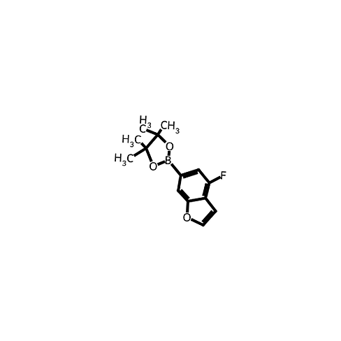 CC1(C)OB(c2cc(F)c3ccoc3c2)OC1(C)C